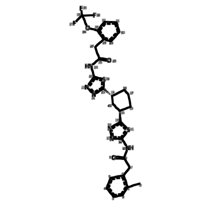 Cc1ccccc1CC(=O)Nc1nnc([C@@H]2CCC[C@@H](c3nnc(NC(=O)Cc4ccccc4OC(F)(F)F)s3)C2)s1